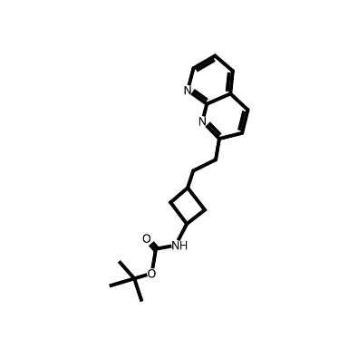 CC(C)(C)OC(=O)NC1CC(CCc2ccc3cccnc3n2)C1